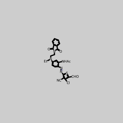 CCN(CCN1C(=O)c2ccccc2C1=O)c1ccc(/N=N/c2sc(C=O)c(Cl)c2C#N)c(NC(C)=O)c1